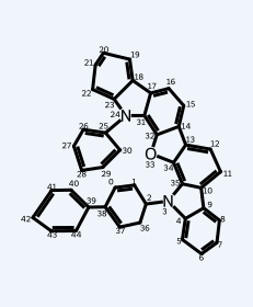 C1=CC(n2c3ccccc3c3ccc4c5ccc6c7ccccc7n(-c7ccccc7)c6c5oc4c32)CC=C1c1ccccc1